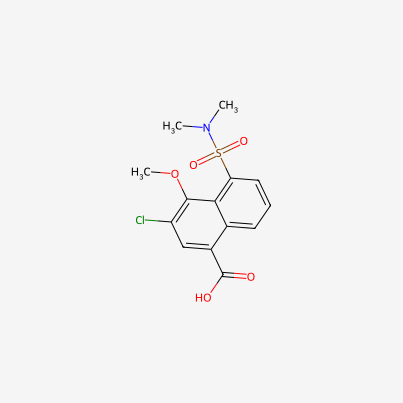 COc1c(Cl)cc(C(=O)O)c2cccc(S(=O)(=O)N(C)C)c12